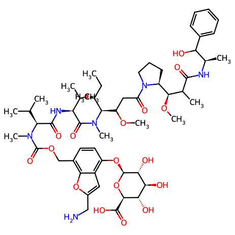 CC[C@H](C)[C@@H](C(CC(=O)N1CCC[C@H]1[C@H](OC)C(C)C(=O)N[C@H](C)C(O)c1ccccc1)OC)N(C)C(=O)[C@@H](NC(=O)[C@H](C(C)C)N(C)C(=O)OCc1ccc(O[C@@H]2O[C@H](C(=O)O)[C@@H](O)[C@H](O)[C@H]2O)c2cc(CN)oc12)C(C)C